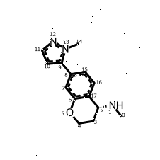 CN[C@@H]1CCOc2cc(-c3ccnn3C)ccc21